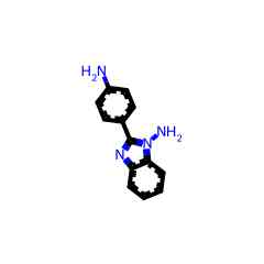 Nc1ccc(-c2nc3ccccc3n2N)cc1